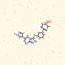 Cn1cc(-c2cnc3nnc(Cc4cccc(-c5ncc(O)cn5)c4)n3c2)cn1